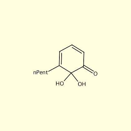 CCCCCC1=CC=CC(=O)C1(O)O